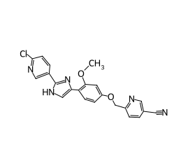 COc1cc(OCc2ccc(C#N)cn2)ccc1-c1c[nH]c(-c2ccc(Cl)nc2)n1